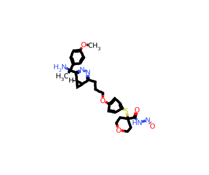 COc1ccc(C(C)(N)C2=NN=C(CCCOc3ccc(SC4(C(=O)NN=O)CCOCC4)cc3)C3C[C@@H]23)cc1